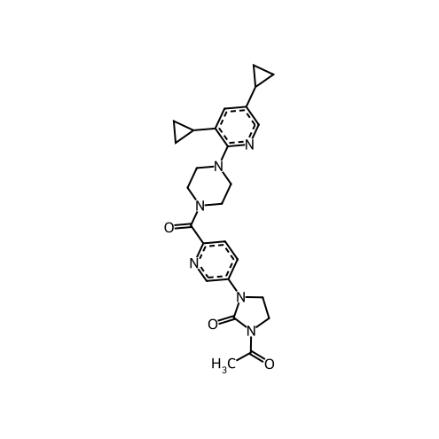 CC(=O)N1CCN(c2ccc(C(=O)N3CCN(c4ncc(C5CC5)cc4C4CC4)CC3)nc2)C1=O